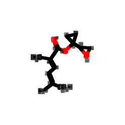 CCC(=CC=C(C)C(=O)OC1(C2CO2)CC1)C(=O)O